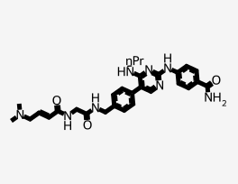 CCCNc1nc(Nc2ccc(C(N)=O)cc2)ncc1-c1ccc(CNC(=O)CNC(=O)/C=C/CN(C)C)cc1